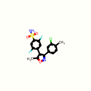 Cc1ccc(-c2noc(C)c2-c2cc(F)c(S(N)(=O)=O)cc2F)cc1Cl